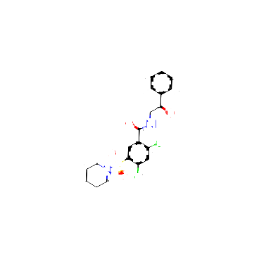 O=C(CNC(=O)c1cc(S(=O)(=O)N2CCCCC2)c(Cl)cc1Cl)c1ccccc1